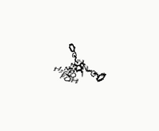 Nc1nc(NCCOCc2ccccc2)c2c(cc(I)c3c2ccn3CCOCc2ccccc2)n1.O=C(O)C(F)(F)F